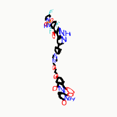 O=C1CCC(N2C(=O)c3ccc(OCCCOCCN4CCN(c5ccc(-c6cnc7[nH]cc(C(=O)c8c(F)ccc(NS(=O)(=O)N9CC[C@@H](F)C9)c8F)c7c6)cc5)CC4)cc3C2=O)C(=O)N1